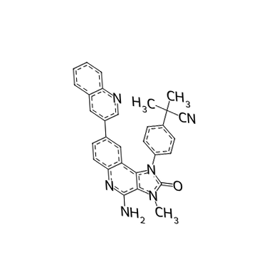 Cn1c(=O)n(-c2ccc(C(C)(C)C#N)cc2)c2c3cc(-c4cnc5ccccc5c4)ccc3nc(N)c21